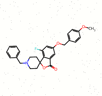 COc1ccc(COc2cc(F)c3c(c2)C(=O)OC32CCN(Cc3ccccc3)CC2)cc1